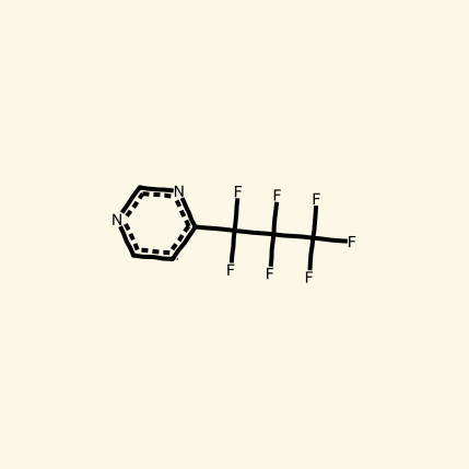 FC(F)(F)C(F)(F)C(F)(F)c1[c]cncn1